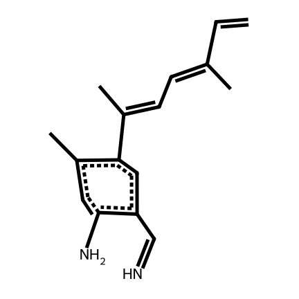 C=C/C(C)=C/C=C(\C)c1cc(C=N)c(N)cc1C